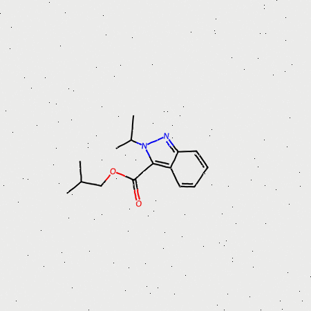 CC(C)COC(=O)c1c2ccccc2nn1C(C)C